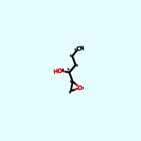 N#CCCC(O)C1CO1